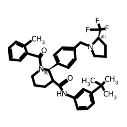 Cc1ccccc1C(=O)N1CCCC(C(=O)Nc2cccc(C(C)(C)C)c2)[C@@H]1c1ccc(CN2CCC[C@@H]2C(F)(F)F)cc1